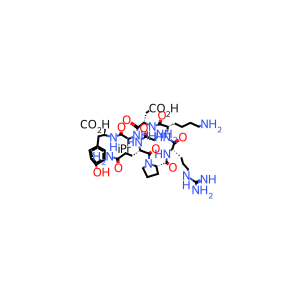 CC(C)[C@H](NC(=O)[C@H](CC(=O)O)NC(=O)[C@H](CCCCN)NC(=O)[C@H](CCCNC(=N)N)NC(=O)[C@@H]1CCCN1C(=O)[C@H](CCC(N)=O)NC(=O)CN)C(=O)N[C@@H](Cc1ccc(O)cc1)C(=O)O